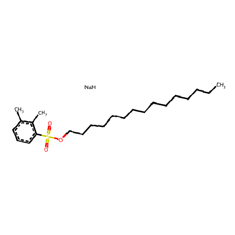 CCCCCCCCCCCCCCCOS(=O)(=O)c1cccc(C)c1C.[NaH]